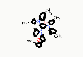 Cc1ccc(N2c3ccc(C)cc3B3c4cc(C)ccc4N(c4ccc(C)cc4)c4cc(N(c5ccccc5)c5cccc6c5oc5c(C(C)(C)C)cccc56)cc2c43)cc1